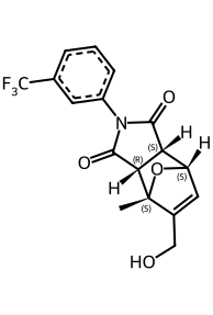 C[C@@]12O[C@@H](C=C1CO)[C@H]1C(=O)N(c3cccc(C(F)(F)F)c3)C(=O)[C@H]12